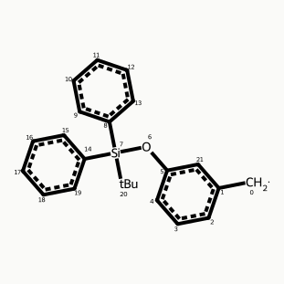 [CH2]c1cccc(O[Si](c2ccccc2)(c2ccccc2)C(C)(C)C)c1